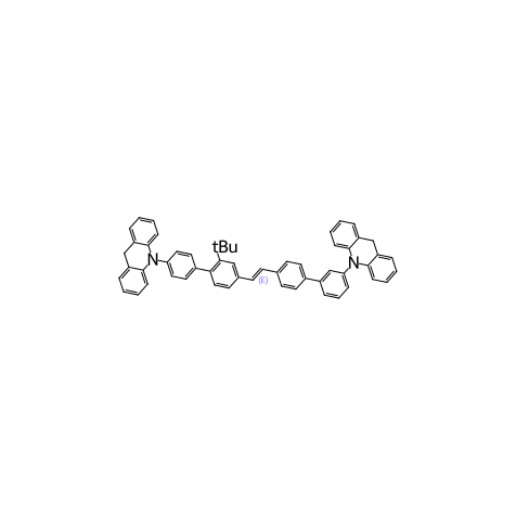 CC(C)(C)c1cc(/C=C/c2ccc(-c3cccc(N4c5ccccc5Cc5ccccc54)c3)cc2)ccc1-c1ccc(N2c3ccccc3Cc3ccccc32)cc1